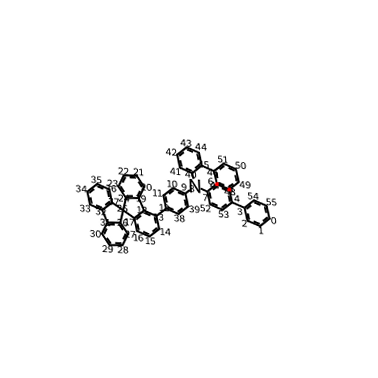 c1ccc(-c2ccc(N(c3ccc(-c4cccc5c4-c4ccccc4C54c5ccccc5-c5ccccc54)cc3)c3ccccc3-c3ccccc3)cc2)cc1